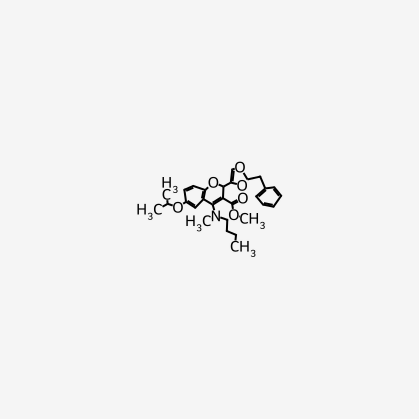 CCCCN(C)C1=C(C(=O)OC)C(C2=COC(Cc3ccccc3)O2)Oc2ccc(OC(C)C)cc21